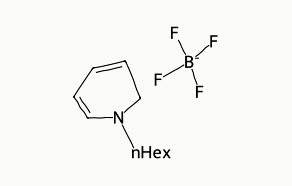 CCCCCCN1C=CC=CC1.F[B-](F)(F)F